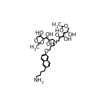 CC1OCC(O)[C@H]([C@H](O)[C@@H](O)CN(CCCOc2ccc3cc(CCCCN)ccc3c2)C[C@H](O)[C@@H](O)[C@@H]2O[C@H](C)OC[C@H]2O)O1